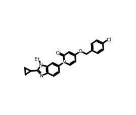 CCn1c(C2CC2)nc2ccc(-n3ccc(OCc4ccc(Cl)cc4)cc3=O)cc21